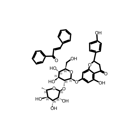 C[C@@H]1O[C@@H](O[C@H]2[C@H](Oc3cc(O)c4c(c3)OC(c3ccc(O)cc3)CC4=O)O[C@H](CO)[C@@H](O)[C@@H]2O)[C@H](O)[C@H](O)[C@H]1O.O=C(C=Cc1ccccc1)c1ccccc1